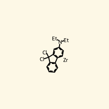 CCN(CC)c1ccc2c(c1)C(Cl)(Cl)c1ccccc1-2.[Zr]